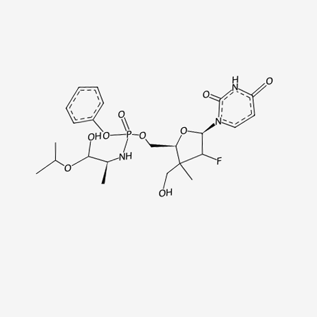 CC(C)OC(O)[C@H](C)NP(=O)(OC[C@H]1O[C@@H](n2ccc(=O)[nH]c2=O)C(F)C1(C)CO)Oc1ccccc1